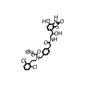 CC(C)(C)OC(=O)N(CCc1c(Cl)cccc1Cl)Cc1ccc(CC(=O)NC[C@@H](O)c2ccc(O)c3[nH]c(=O)sc23)cc1